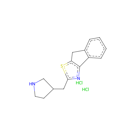 Cl.Cl.c1ccc2c(c1)Cc1sc(CC3CCNC3)nc1-2